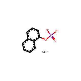 O=P([O-])([O-])Oc1cccc2ccccc12.[Ca+2]